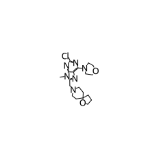 Cn1c(CN2CCC3(CCCO3)CC2)nc2c(N3CCOCC3)nc(Cl)nc21